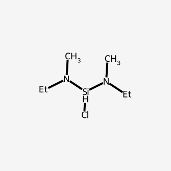 CCN(C)[SiH](Cl)N(C)CC